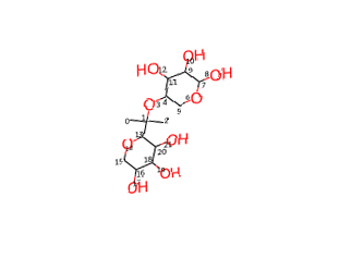 CC(C)(OC1COC(O)C(O)C1O)C1OCC(O)C(O)C1O